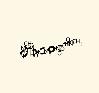 COC(=O)NC[C@H]1CN(c2ccc(N3CCN(C(=O)CNC(=O)c4c(C)nc5cnccn45)CC3)c(F)c2)C(=O)O1